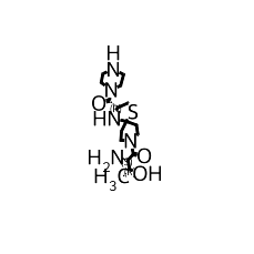 C[C@@H](O)[C@H](N)C(=O)N1CCC2(CC1)N[C@H](C(=O)N1CCNCC1)CS2